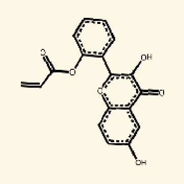 C=CC(=O)Oc1ccccc1-c1oc2ccc(O)cc2c(=O)c1O